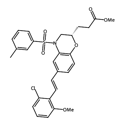 COC(=O)CC[C@H]1CN(S(=O)(=O)c2cccc(C)c2)c2cc(/C=C/c3c(Cl)cccc3OC)ccc2O1